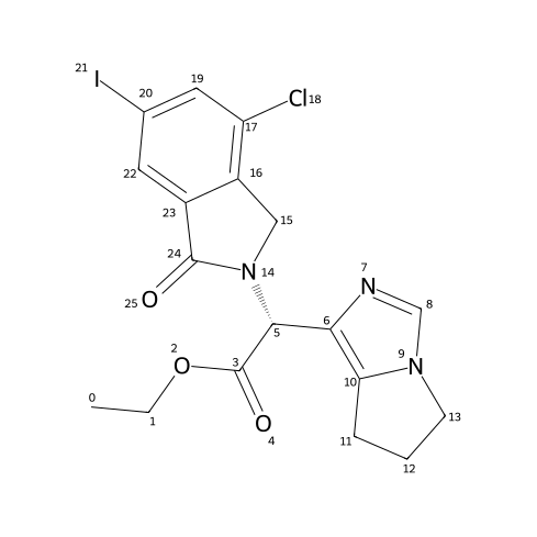 CCOC(=O)[C@@H](c1ncn2c1CCC2)N1Cc2c(Cl)cc(I)cc2C1=O